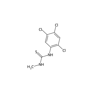 CNC(=S)Nc1cc(Cl)c(Cl)cc1Cl